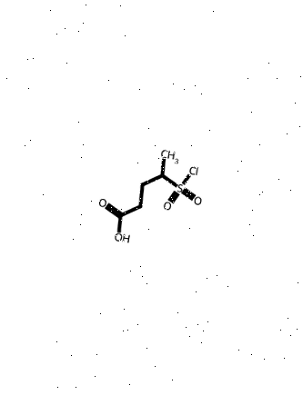 CC(CCC(=O)O)S(=O)(=O)Cl